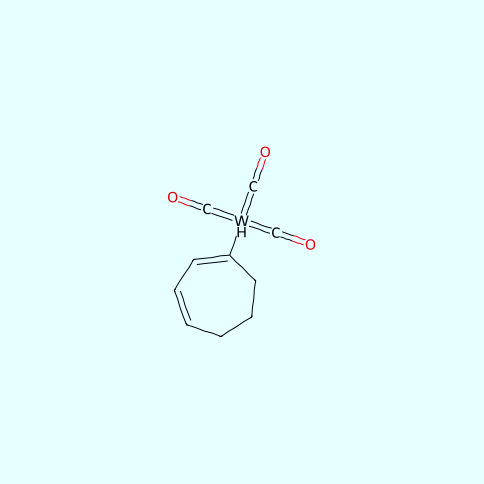 O=[C]=[WH](=[C]=O)(=[C]=O)[C]1=CC=CCCC1